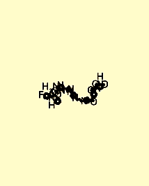 Nc1ncc(-c2cnn(C3CCN(CCCN4CCN(C(=O)c5ccc6c(N7CCC(=O)NC7=O)coc6c5)CC4)CC3)c2)nc1C(=O)O[C@@H](C(=O)Nc1ccc(F)cc1)c1ccccc1